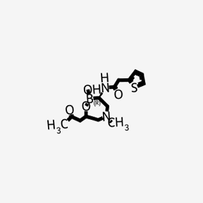 CC(=O)CC1CN(C)C[C@H](NC(=O)Cc2cccs2)B(O)O1